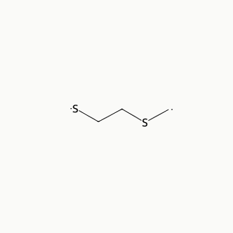 [CH2]SCC[S]